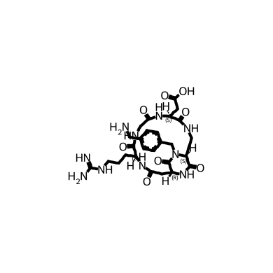 N=C(N)NCCC[C@@H]1NC(=O)C[C@H]2NC(=O)[C@H](CNC(=O)[C@H](CC(=O)O)NC(=O)CNC1=O)N(Cc1ccc(CN)cc1)C2=O